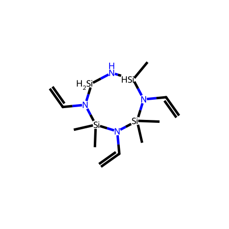 C=CN1[SiH2]N[SiH](C)N(C=C)[Si](C)(C)N(C=C)[Si]1(C)C